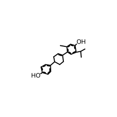 Cc1cc(O)c(C(C)C)cc1C1=CCC(c2ccc(O)cc2)CC1